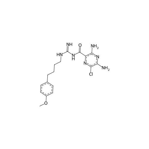 COc1ccc(CCCCNC(=N)NC(=O)c2nc(Cl)c(N)nc2N)cc1